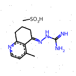 CS(=O)(=O)O.Cc1ccnc2c1C(=NNC(=N)N)CCC2